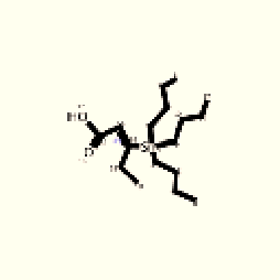 CCC[CH2][Sn]([CH2]CCC)([CH2]CCC)/[C](=C/C(=O)O)CC